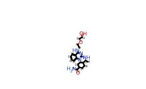 C[C](Nc1nc(NCCOCCO)c2ccccc2n1)C1CCC(C(N)=O)CC1